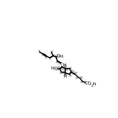 CC#CCC(C)C(O)/C=C/[C@@H]1[C@H]2C/C(=C/CCCC(=O)O)C[C@H]2C[C@H]1O